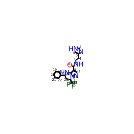 O=C(NCCc1c[nH]cn1)c1cnn2c1NC(c1ccccc1)CC2C(F)(F)F